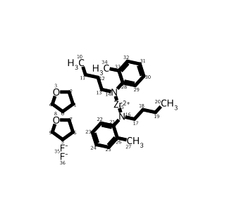 C1CCOC1.C1CCOC1.CCCC[N]([Zr+2][N](CCCC)c1ccccc1C)c1ccccc1C.[F-].[F-]